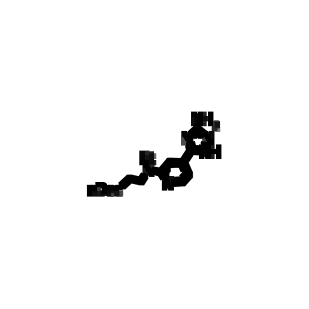 CCCCCCCCCCCCN(CC)c1cc(-c2nc(N)n[nH]2)ccn1